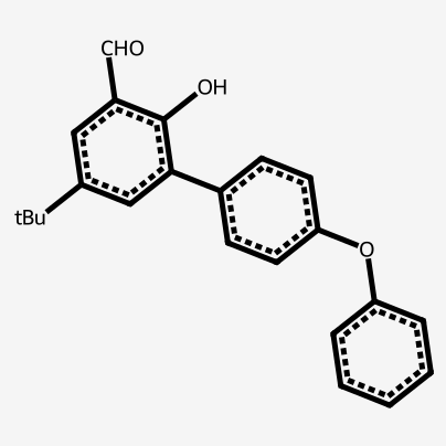 CC(C)(C)c1cc(C=O)c(O)c(-c2ccc(Oc3ccccc3)cc2)c1